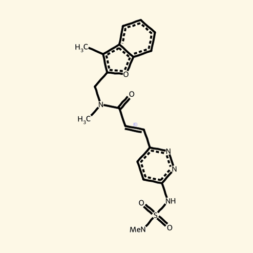 CNS(=O)(=O)Nc1ccc(/C=C/C(=O)N(C)Cc2oc3ccccc3c2C)nn1